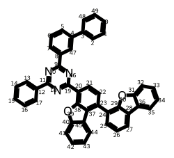 c1ccc(-c2cccc(-c3nc(-c4ccccc4)nc(-c4ccc(-c5cccc6c5oc5ccccc56)c5c4oc4ccccc45)n3)c2)cc1